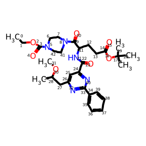 CCOC(=O)N1CCN(C(=O)C(CCC(=O)OC(C)(C)C)NC(=O)c2cc(CC(C)OC)nc(-c3ccccc3)n2)CC1